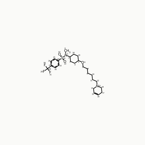 CN(C1CCC(OCCCCCCN2CC=CCC2)CC1)S(=O)(=O)c1ccc(C(F)(F)F)cc1